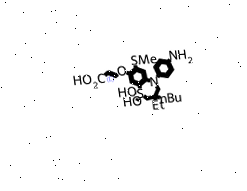 CCCCC1(CC)CN(c2ccc(N)cc2)c2cc(SC)c(O/C=C/C(=O)O)cc2S(O)(O)C1